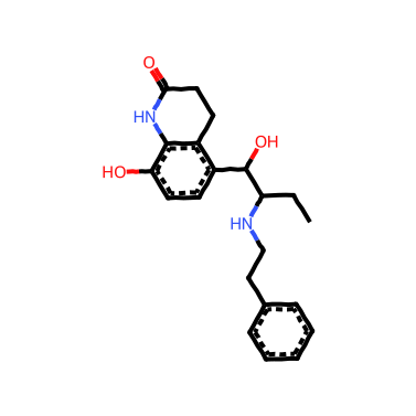 CCC(NCCc1ccccc1)C(O)c1ccc(O)c2c1CCC(=O)N2